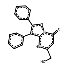 O=c1cc(CO)[nH]c2c(-c3ccccc3)c(-c3ccccc3)nn12